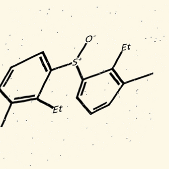 CCc1c(C)cccc1[S+]([O-])c1cccc(C)c1CC